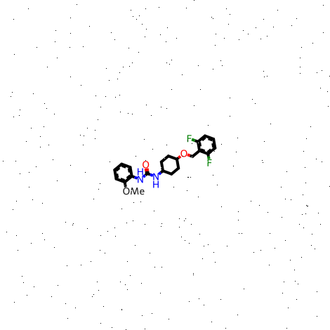 COc1ccccc1NC(=O)NC1CCC(OCc2c(F)cccc2F)CC1